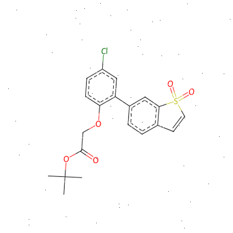 CC(C)(C)OC(=O)COc1ccc(Cl)cc1-c1ccc2c(c1)S(=O)(=O)C=C2